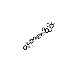 COc1ccc(/C=C\c2cc(C)c(C)c(OC)c2)cc1OCN1CCN(COc2ccc(-c3nc4ccccc4s3)cc2)CC1